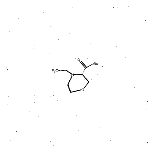 CC(C)(C)C(=O)[C@@H]1COCCN1CC(F)(F)F